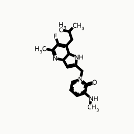 CNc1cccn(CC2=CC3N=C(C)C(F)=C(CC(C)C)C3N2)c1=O